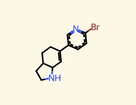 Brc1ccc(C2=CC3NCCC3CC2)cn1